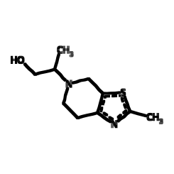 Cc1nc2c(s1)CN(C(C)CO)CC2